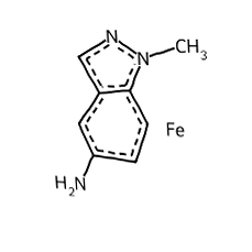 Cn1ncc2cc(N)ccc21.[Fe]